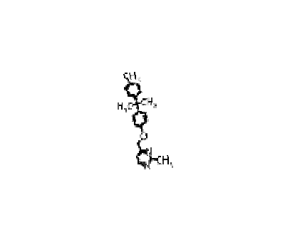 Cc1ccc(C(C)(C)c2ccc(OCc3ccnc(C)n3)cc2)cc1